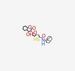 O=C(NC1C2CC3CC(C2)CC1C3)/C(S)=C/c1ccc(-c2c(O)c3ccccc3oc2=O)o1